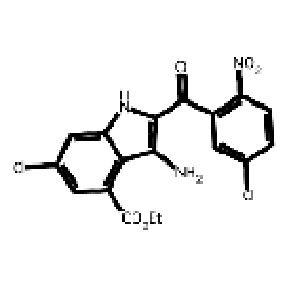 CCOC(=O)c1cc(Cl)cc2[nH]c(C(=O)c3cc(Cl)ccc3[N+](=O)[O-])c(N)c12